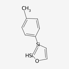 Cc1ccc(-[si]2cco[siH]2)cc1